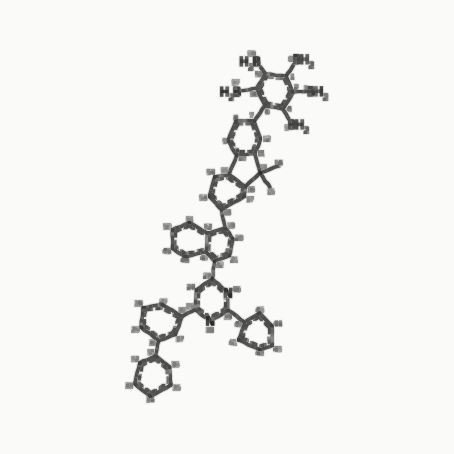 Bc1c(B)c(B)c(-c2ccc3c(c2)C(C)(C)c2cc(-c4ccc(-c5cc(-c6cccc(-c7ccccc7)c6)nc(-c6ccccc6)n5)c5ccccc45)ccc2-3)c(B)c1B